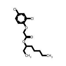 CCCCCC(CC)OC(=O)COc1ccc(Cl)cc1Cl